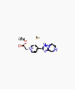 CC(C)(C)OC(=O)C[n+]1ccc(-c2nc3cnccn3n2)cc1.[Br-]